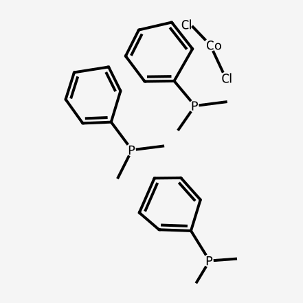 CP(C)c1ccccc1.CP(C)c1ccccc1.CP(C)c1ccccc1.[Cl][Co][Cl]